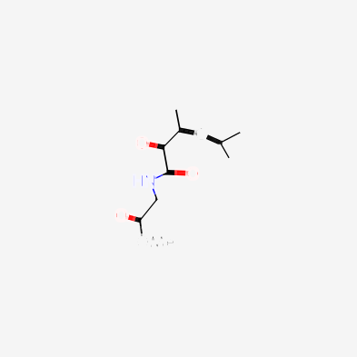 COC(=O)CNC(=O)C(=O)C(C)=C=C(C)C